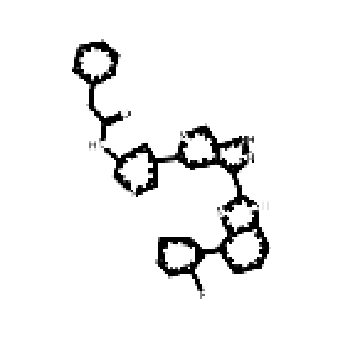 O=C(Cc1ccccc1)Nc1cncc(-c2cc3c(-c4nc5c(-c6ccccc6F)cccc5[nH]4)n[nH]c3cn2)c1